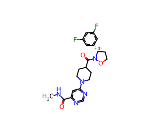 CNC(=O)c1cc(N2CCC(C(=O)N3OCC[C@H]3c3cc(F)cc(F)c3)CC2)ncn1